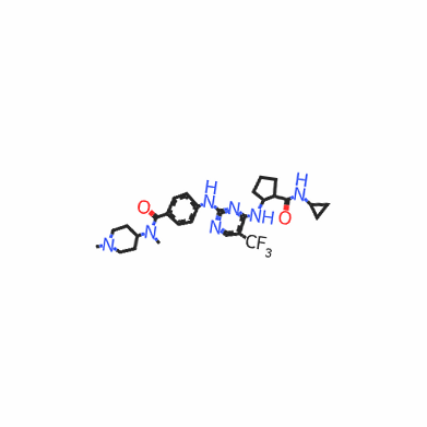 CN1CCC(N(C)C(=O)c2ccc(Nc3ncc(C(F)(F)F)c(NC4CCCC4C(=O)NC4CC4)n3)cc2)CC1